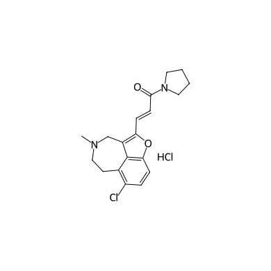 CN1CCc2c(Cl)ccc3oc(/C=C/C(=O)N4CCCC4)c(c23)C1.Cl